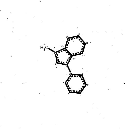 Cn1cc(-c2ccccc2)c2ccccc21